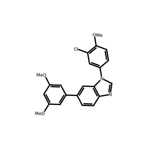 COc1cc(OC)cc(-c2ccc3ncn(-c4ccc(OC)c(Cl)c4)c3c2)c1